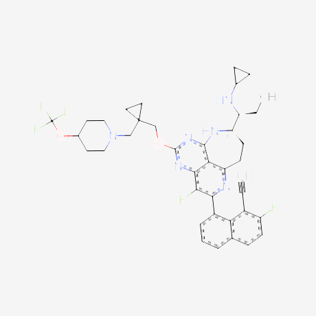 C#Cc1c(F)ccc2cccc(-c3nc4c5c(nc(OCC6(CN7CCC(OC(F)(F)F)CC7)CC6)nc5c3F)N[C@@H]([C@H](CC)NC3CC3)CC4)c12